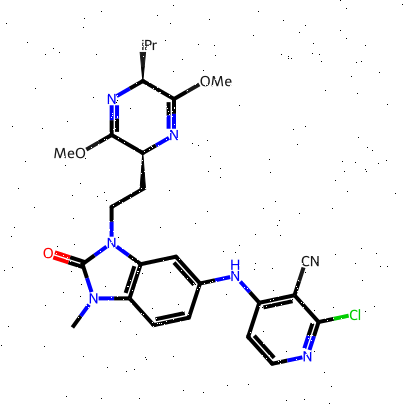 COC1=N[C@@H](C(C)C)C(OC)=N[C@H]1CCn1c(=O)n(C)c2ccc(Nc3ccnc(Cl)c3C#N)cc21